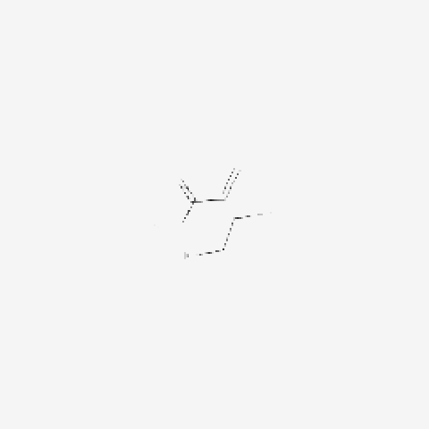 C=CC(=O)O.OCCO.[Zn]